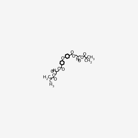 C=C(C)C(=O)OCC(COC(=O)c1ccc(Oc2ccc(C(=O)OCC(COC(=O)C(=C)C)N=O)cc2)cc1)N=O